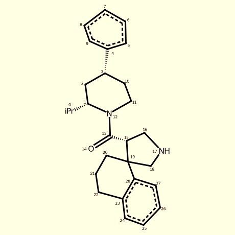 CC(C)[C@@H]1C[C@H](c2ccccc2)CCN1C(=O)[C@@H]1CNCC12CCCc1ccccc12